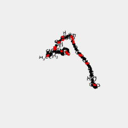 C=C1C(C)CC(CC)OC1C[C@@H]1O[C@H](CC(O)CNC(=O)OCc2ccc(NC(=O)CNC(=O)C(NC(=O)CCOCCOCCOCCOCCOCCOCCOCCOCCNC(=O)CCN3C(=O)C=CC3=O)C(C)C)cc2)CC1CC(=O)CC1CCC2OC3COC4CC(OC[C@H]2O1)OC43